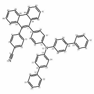 N#Cc1ccc(-c2c(-c3ccc(N(c4ccc(-c5ccccc5)cc4)c4ccc(-c5ccccc5)cc4)cc3)c3ccccc3c3ccccc23)cc1